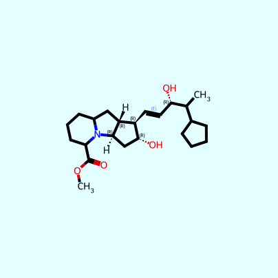 COC(=O)C1CCCC2C[C@@H]3[C@@H](/C=C/[C@H](O)C(C)C4CCCC4)[C@H](O)C[C@H]3N21